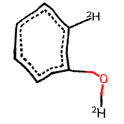 [2H]Oc1ccccc1[2H]